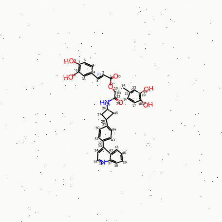 O=C(/C=C/c1ccc(O)c(O)c1)O[C@H](Cc1ccc(O)c(O)c1)C(=O)NC1CC(c2ccc(-c3ccnc4ccccc34)cc2)C1